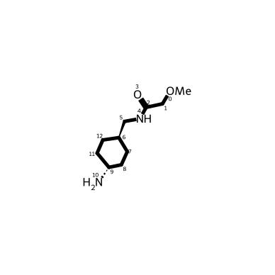 COCC(=O)NC[C@H]1CC[C@H](N)CC1